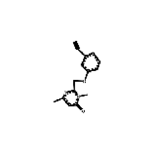 C#Cc1cccc(OCc2nc(C)cc(=O)n2C)c1